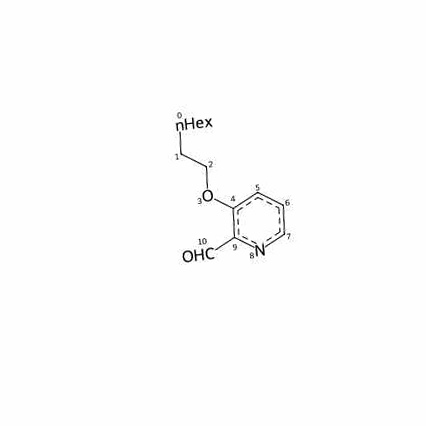 CCCCCCCCOc1cccnc1C=O